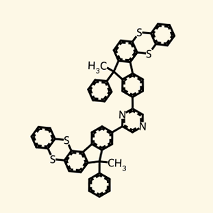 CC1(c2ccccc2)c2cc(-c3cncc(-c4ccc5c(c4)C(C)(c4ccccc4)c4ccc6c(c4-5)Sc4ccccc4S6)n3)ccc2-c2c1ccc1c2Sc2ccccc2S1